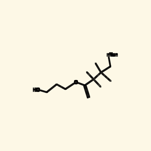 C=C(OCCCO)C(C)(C)C(C)(C)CCCCCCCCCC